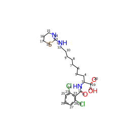 O=C(NC(CCCCCCCCNC1=NCCCS1)C(=O)O)c1c(Cl)cccc1Cl